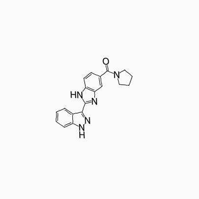 O=C(c1ccc2[nH]c(-c3n[nH]c4ccccc34)nc2c1)N1CCCC1